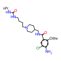 CCCNC(=O)NCCCCN1CCC(CNC(=O)c2cc(Cl)c(N)cc2OC)CC1